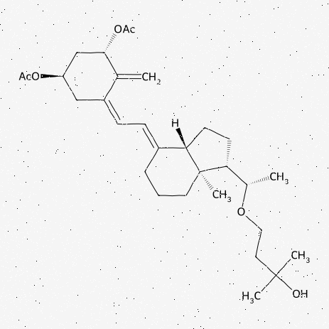 C=C1C(=CC=C2CCC[C@]3(C)[C@@H]([C@H](C)OCCC(C)(C)O)CC[C@@H]23)C[C@@H](OC(C)=O)C[C@@H]1OC(C)=O